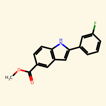 COC(=O)c1ccc2[nH]c(-c3cccc(F)c3)cc2c1